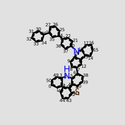 c1ccc(Nc2c(-c3ccc4c(c3)c3ccccc3n4-c3ccc(-c4cccc(-c5ccccc5)c4)cc3)ccc3sc4ccccc4c23)cc1